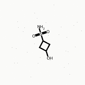 NS(=O)(=O)C1CC(O)C1